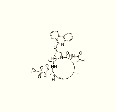 C[C@@H]1CCC=C[C@@H]2C[C@@]2(C(=O)NS(=O)(=O)C2CC2)NC(=O)[C@@H]2C[C@@H](Oc3nc4ccccc4c4ccccc34)CN2C(=O)[C@@H](NC(=O)O)[C@H](C)C1